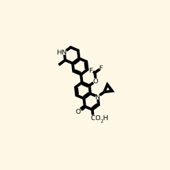 CC1NCCc2ccc(-c3ccc4c(=O)c(C(=O)O)cn(C5CC5)c4c3OC(F)F)cc21